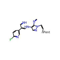 C=Nc1c(N/C=C(\C=N)c2ccc(F)nc2)cnn1/C=C\CCCCC